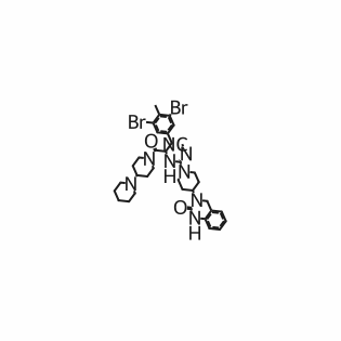 Cc1c(Br)cc(CC(NC(=NC#N)N2CCC(N3Cc4ccccc4NC3=O)CC2)C(=O)N2CCC(N3CCCCC3)CC2)cc1Br